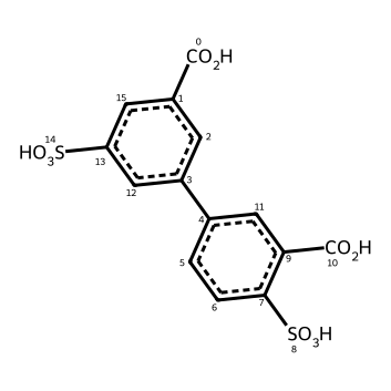 O=C(O)c1cc(-c2ccc(S(=O)(=O)O)c(C(=O)O)c2)cc(S(=O)(=O)O)c1